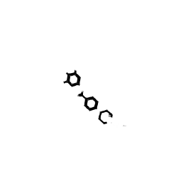 CCCCC[Si@H]1CC[C@H](c2ccc(C(=O)Oc3cc(F)c(F)c(F)c3)cc2)CC1